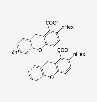 CCCCCCc1ccc2c(c1C(=O)[O-])Cc1ccccc1O2.CCCCCCc1ccc2c(c1C(=O)[O-])Cc1ccccc1O2.[Zn+2]